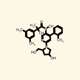 Cc1cc(C)cc(C(C)(C)C(=O)N(C)c2cnc(N3CC(O)CC3CO)cc2-c2ccccc2C)c1